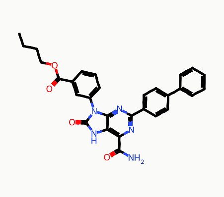 CCCCOC(=O)c1cccc(-n2c(=O)[nH]c3c(C(N)=O)nc(-c4ccc(-c5ccccc5)cc4)nc32)c1